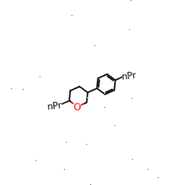 CCCc1ccc(C2CCC(CCC)OC2)cc1